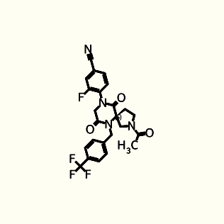 CC(=O)N1CC[C@]2(C1)C(=O)N(c1ccc(C#N)cc1F)CC(=O)N2Cc1ccc(C(F)(F)F)cc1